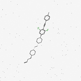 C=CCC[C@H]1CC[C@H](CC[C@H]2CC[C@H](c3cc(F)c(C#Cc4ccc(C)cc4)c(F)c3)CC2)CC1